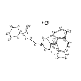 Cl.N#CC(CCCN1CCC(=C2c3ccccc3C=Cc3ccccc32)CC1)C1CCCCC1